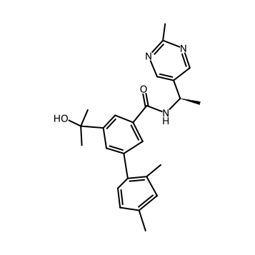 Cc1ccc(-c2cc(C(=O)N[C@H](C)c3cnc(C)nc3)cc(C(C)(C)O)c2)c(C)c1